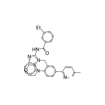 C=C(C)/C=C\C(=N/C)c1ccc(N2CCOCC2)c(Cn2c(NC(=O)c3cccc(CC)c3)nc3ccccc32)c1